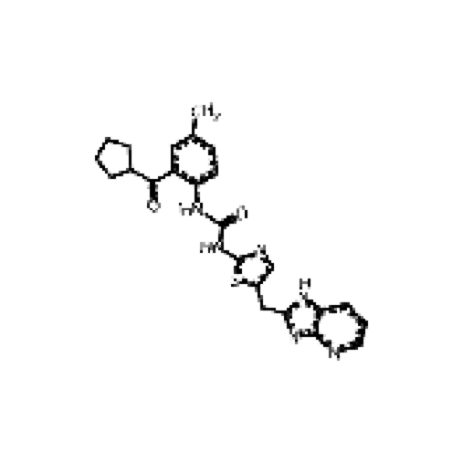 Cc1ccc(NC(=O)Nc2ncc(Cc3nc4ncccc4[nH]3)s2)c(C(=O)C2CCCC2)c1